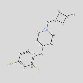 CC1CC(CN2CCC(Cc3ccc(F)cc3F)CC2)C1